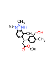 CCN1c2ccc(C(CC(=O)OC(C)(C)C)c3ccc(C)c(CO)c3)c(C)c2NN1C